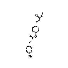 COC(=O)/C=C/c1ccc(OC(=O)CCc2ccc(O)cc2)cc1